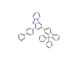 c1ccc(C2(c3ccccc3)c3ccccc3-c3ccc(-c4cc(-c5ccc(-c6cccnc6)cc5)c5nc6ccccn6c5c4)cc32)cc1